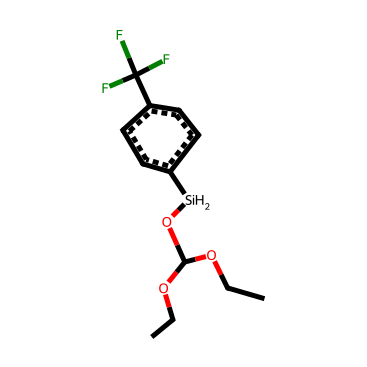 CCOC(OCC)O[SiH2]c1ccc(C(F)(F)F)cc1